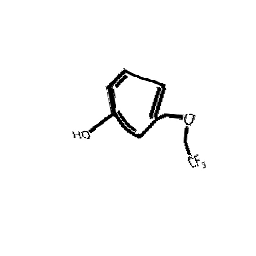 Oc1c[c]cc(OC(F)(F)F)c1